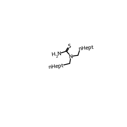 CCCCCCCCN(CCCCCCCC)C(N)=S